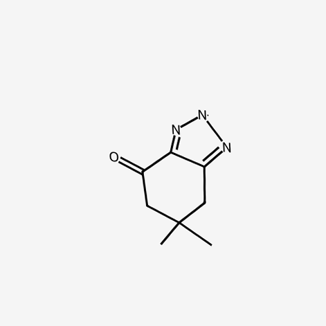 CC1(C)CC(=O)C2=N[N]N=C2C1